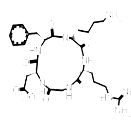 N=C(N)NCCC[C@@H]1NC(=O)[C@@H](CCCCN)NC(=O)[C@H](Cc2ccccc2)NC(=O)[C@H](CC(=O)O)NC(=O)CNC1=O